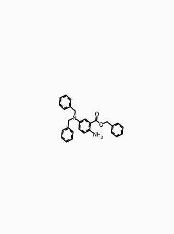 Nc1ccc(N(Cc2ccccc2)Cc2ccccc2)cc1C(=O)OCc1ccccc1